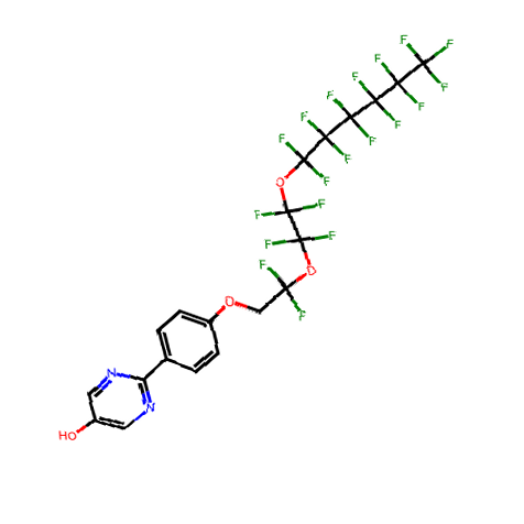 Oc1cnc(-c2ccc(OCC(F)(F)OC(F)(F)C(F)(F)OC(F)(F)C(F)(F)C(F)(F)C(F)(F)C(F)(F)C(F)(F)F)cc2)nc1